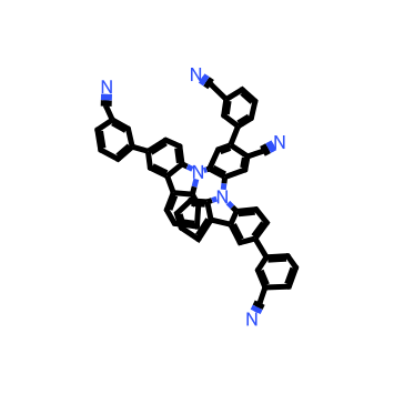 N#Cc1cccc(-c2ccc3c(c2)c2ccccc2n3-c2cc(C#N)c(-c3cccc(C#N)c3)cc2-n2c3ccccc3c3cc(-c4cccc(C#N)c4)ccc32)c1